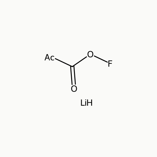 CC(=O)C(=O)OF.[LiH]